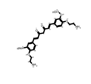 CCCCCCCCCc1cc(/C=C/C(=O)CC(=O)/C=C/c2ccc(OCCN)c(OCCCCCCCC)c2)ccc1OCCN